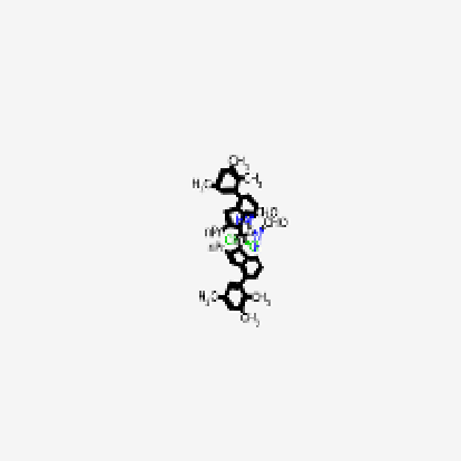 CCCC1=Cc2c(-c3cc(C)cc(C)c3C)cccc2[CH]1[Zr]([Cl])([Cl])([B](NC=O)NC=O)[CH]1C(CCC)=Cc2c(-c3cc(C)cc(C)c3C)cccc21